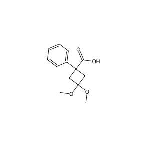 COC1(OC)CC(C(=O)O)(c2ccccc2)C1